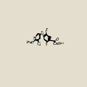 CC(C)Oc1ncc(Oc2cc(F)c(C(=O)OC(C)(C)C)cc2F)cc1Cl